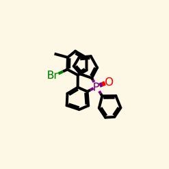 Cc1cccc(-c2ccccc2P(=O)(c2ccccc2)c2ccccc2)c1Br